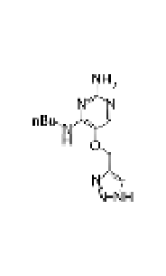 CCCCNc1nc(N)ncc1OCc1c[nH]nn1